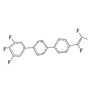 C/C(F)=C(\F)c1ccc(-c2ccc(-c3cc(F)c(F)c(F)c3)cc2)cc1